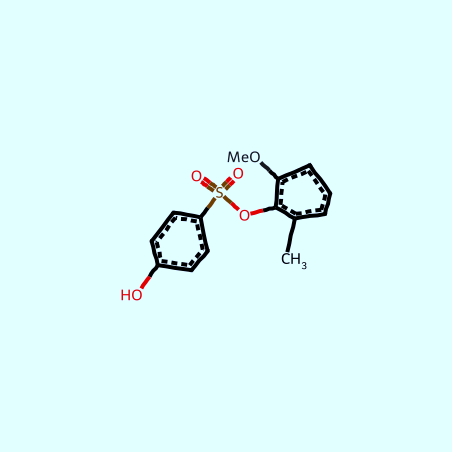 COc1cccc(C)c1OS(=O)(=O)c1ccc(O)cc1